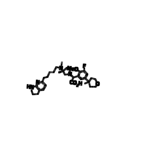 COc1c(F)cc(C2(C)CCOCC2)cc1C(C(=O)O)N1CC[C@@](C)(N(C)CCCCCc2ccc3c(n2)NCCC3)C1